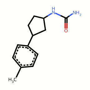 Cc1ccc(C2CCC(NC(N)=O)C2)cc1